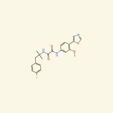 COc1cc(NC(=O)C(=O)NC(C)(C)Cc2ccc(F)cc2)ccc1-c1cnco1